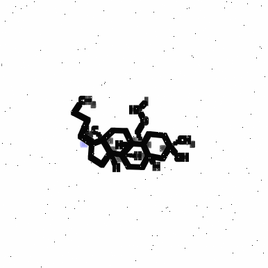 CCC/C=C1/CC[C@H]2[C@@H]3CC[C@H]4C[C@](C)(O)CC[C@]4(COPI)[C@H]3CC[C@]12C